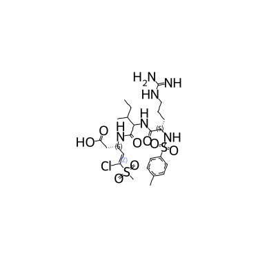 CCC(C)C(NC(=O)[C@H](CCCNC(=N)N)NS(=O)(=O)c1ccc(C)cc1)C(=O)N[C@H](/C=C(\Cl)S(C)(=O)=O)CC(=O)O